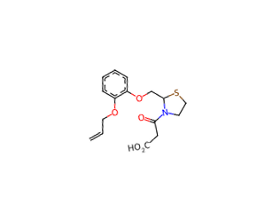 C=CCOc1ccccc1OCC1SCCN1C(=O)CC(=O)O